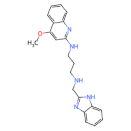 COc1cc(NCCCNCc2nc3ccccc3[nH]2)nc2ccccc12